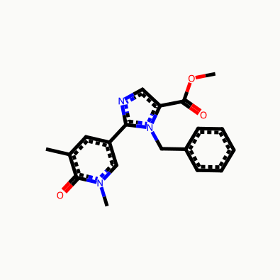 COC(=O)c1cnc(-c2cc(C)c(=O)n(C)c2)n1Cc1ccccc1